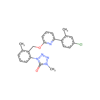 Cc1cc(Cl)ccc1-c1cccc(OCc2c(C)cccc2-n2nnn(C)c2=O)n1